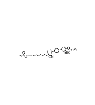 C=CC(=O)OCCCCCCCCCCC1(C#N)CCCC(c2ccc(-c3ccc(OC(CCC)CCCC)cc3)cc2)C1